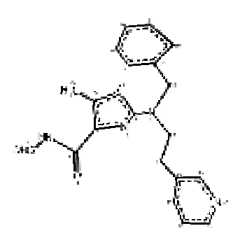 CSNC(=O)c1nc(N(CCc2cccnc2)Cc2ccccc2)sc1C